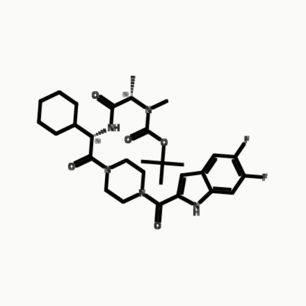 C[C@@H](C(=O)N[C@H](C(=O)N1CCN(C(=O)c2cc3cc(F)c(F)cc3[nH]2)CC1)C1CCCCC1)N(C)C(=O)OC(C)(C)C